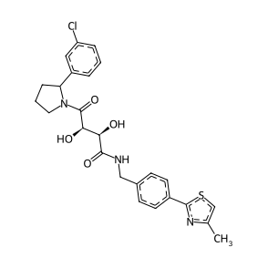 Cc1csc(-c2ccc(CNC(=O)[C@H](O)[C@@H](O)C(=O)N3CCCC3c3cccc(Cl)c3)cc2)n1